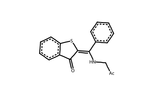 CC(=O)CN/C(=C1/Sc2ccccc2C1=O)c1ccccc1